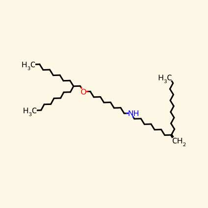 C=C(CCCCCCCCCC)CCCCCCCNCCCCCCCCOCC(CCCCCCCC)CCCCCCCC